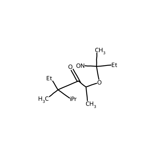 CCC(C)(N=O)OC(C)C(=O)C(C)(CC)C(C)C